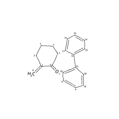 C=C1CCCCC1=O.c1ccc(-c2ccccc2)cc1